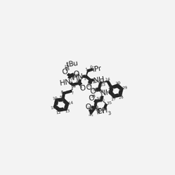 CC(C)C[C@H](NC(=O)[C@H](CCc1ccccc1)NC(=O)OC(C)(C)C)C(=O)N[C@@H](Cc1ccccc1)C(=O)N[C@H](CC(C)C)C(=O)[C@@]1(C)CO1